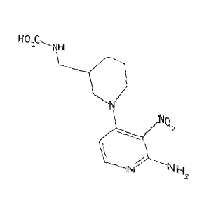 Nc1nccc(N2CCCC(CNC(=O)O)C2)c1[N+](=O)[O-]